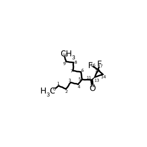 CCCCCC(CCCCC)C(=O)[C@@H]1CC1(F)F